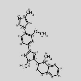 COc1cc(-c2nc(C3CCc4ccccc4N3C)n(C)n2)ccc1-n1cnc(C)c1